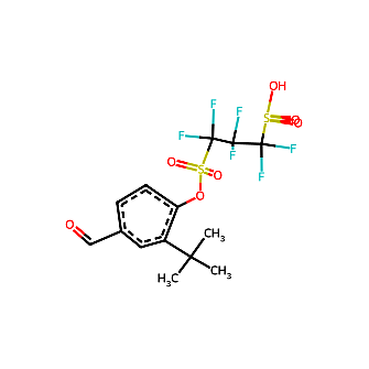 CC(C)(C)c1cc(C=O)ccc1OS(=O)(=O)C(F)(F)C(F)(F)C(F)(F)S(=O)(=O)O